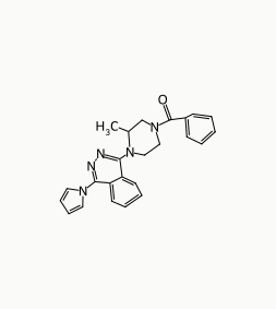 CC1CN(C(=O)c2ccccc2)CCN1c1nnc(-n2cccc2)c2ccccc12